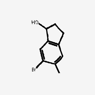 Cc1cc2c(cc1Br)C(O)CC2